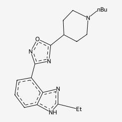 CCCCN1CCC(c2nc(-c3cccc4[nH]c(CC)nc34)no2)CC1